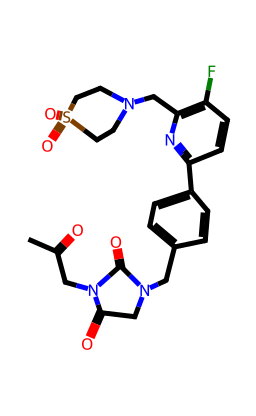 CC(=O)CN1C(=O)CN(Cc2ccc(-c3ccc(F)c(CN4CCS(=O)(=O)CC4)n3)cc2)C1=O